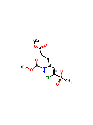 CC(C)(C)OC(=O)CC[C@@H](/C=C(\Cl)S(C)(=O)=O)NC(=O)OC(C)(C)C